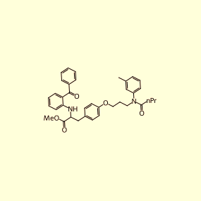 CCCC(=O)N(CCCOc1ccc(CC(Nc2ccccc2C(=O)c2ccccc2)C(=O)OC)cc1)c1cccc(C)c1